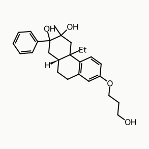 CCC12CC(C)(O)C(O)(c3ccccc3)C[C@H]1CCc1cc(OCCCO)ccc12